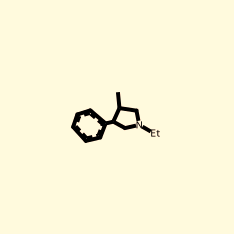 CCN1CC(C)C(c2ccccc2)C1